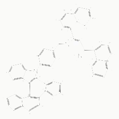 NC(/C=C(\NCc1ccc(-n2c3ccccc3c3c4c5ccccc5ccc4c4ccccc4c32)cc1)C1=CC=CC2=CC=CCC21)c1cccc2ccccc12